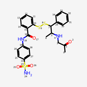 CC(=O)CNC(C)C(SSc1ccccc1C(=O)Nc1ccc(S(N)(=O)=O)cc1)c1ccccc1